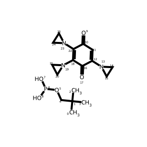 CC(C)(C)COP(O)O.O=C1C=C(N2CC2)C(=O)C(N2CC2)=C1N1CC1